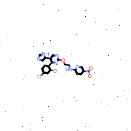 O=[N+]([O-])c1ccc(NCCOc2ncc(-c3cnc[nH]3)c(-c3ccc(Cl)cc3Cl)n2)nc1